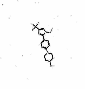 OC1CCN(c2ccc(-c3nc(C(F)(F)F)cn3SF)cn2)CC1